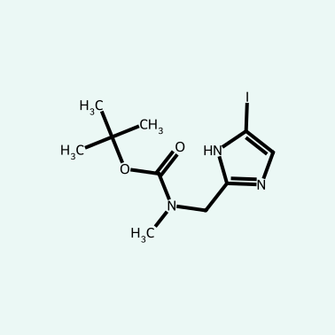 CN(Cc1ncc(I)[nH]1)C(=O)OC(C)(C)C